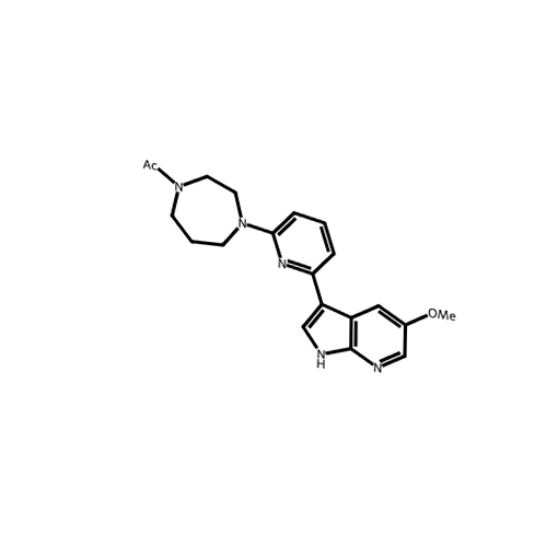 COc1cnc2[nH]cc(-c3cccc(N4CCCN(C(C)=O)CC4)n3)c2c1